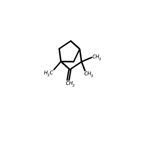 C=C1C2(C)CCC(C2)C1(C)C